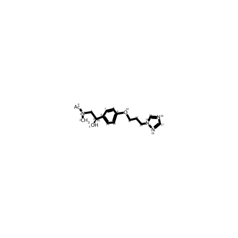 CC(=O)N(C)C[C@H](O)c1ccc(OCCCn2cncn2)cc1